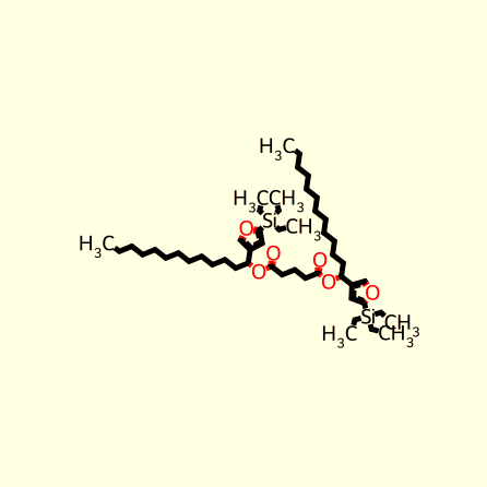 CCCCCCCCCCCCC(OC(=O)CCCC(=O)OC(CCCCCCCCCCCC)c1coc([Si](CC)(CC)CC)c1)c1coc([Si](CC)(CC)CC)c1